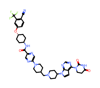 N#Cc1ccc(O[C@H]2CC[C@H](NC(=O)c3cnc(N4CCC(CN5CCC(n6ccc7c(N8CCC(=O)NC8=O)ncnc76)CC5)CC4)cn3)CC2)cc1C(F)(F)F